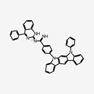 N=C(/N=c1/nc(-c2ccccc2)c2ccccc2[nH]1)c1ccc(-n2c3ccccc3c3cc4c5ccccc5n(-c5ccccc5)c4cc32)cc1